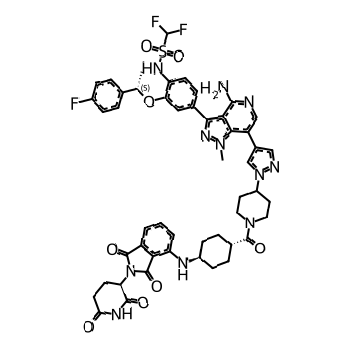 C[C@H](Oc1cc(-c2nn(C)c3c(-c4cnn(C5CCN(C(=O)[C@H]6CC[C@H](Nc7cccc8c7C(=O)N(C7CCC(=O)NC7=O)C8=O)CC6)CC5)c4)cnc(N)c23)ccc1NS(=O)(=O)C(F)F)c1ccc(F)cc1